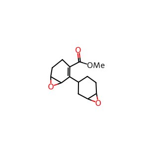 COC(=O)C1=C(C2CCC3OC3C2)C2OC2CC1